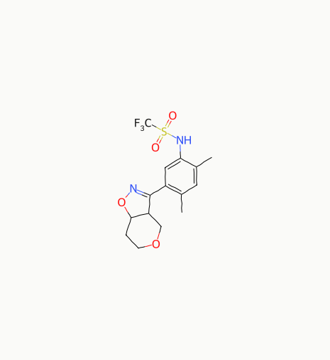 Cc1cc(C)c(C2=NOC3CCOCC23)cc1NS(=O)(=O)C(F)(F)F